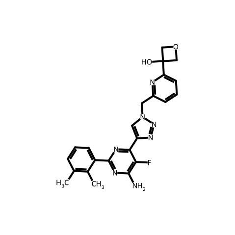 Cc1cccc(-c2nc(N)c(F)c(-c3cn(Cc4cccc(C5(O)COC5)n4)nn3)n2)c1C